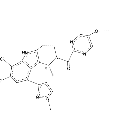 COc1cnc(C(=O)N2CCc3[nH]c4c(Cl)c(Cl)cc(-c5ccn(C)n5)c4c3[C@H]2C)nc1